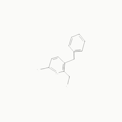 ClCc1nc(Cl)ccc1Cc1ccccc1